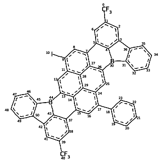 FC(F)(F)c1cc2c3c(c1)-c1cc(I)c4cc5c6c(cc(-c7ccccc7)c7cc(c1c4c76)B3c1ccccc1-2)-c1cc(C(F)(F)F)cc2c1B5c1ccccc1-2